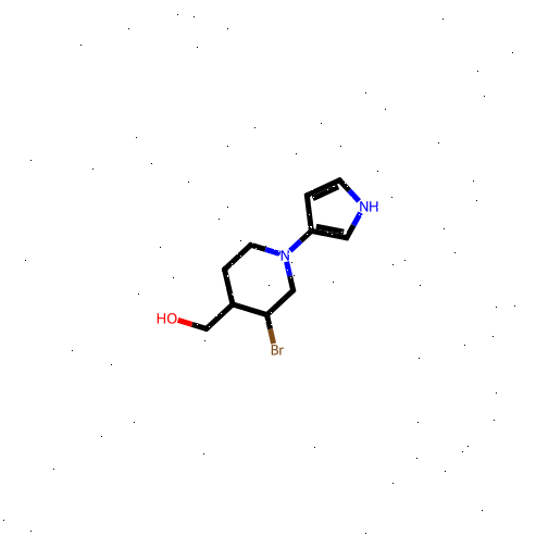 OCC1CCN(c2cc[nH]c2)CC1Br